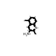 Cc1nc2cccc(C)c2cc1N